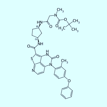 Cc1cc(Oc2ccccc2)ccc1N1C(=O)Nc2c(C(=O)N[C@H]3CC[C@@H](NC(=O)CN(C)C(=O)OC(C)(C)C)C3)sc3nccc1c23